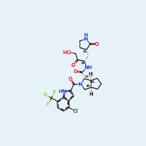 O=C1NCC[C@H]1C[C@H](NC(=O)[C@@H]1[C@H]2CCC[C@H]2CN1C(=O)c1cc2c(Cl)ccc(C(F)(F)F)c2[nH]1)C(=O)CO